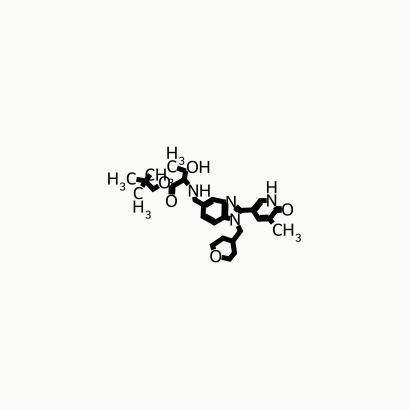 Cc1cc(-c2nc3cc(CNC(C(=O)OCC(C)(C)C)C(C)O)ccc3n2CC2CCOCC2)c[nH]c1=O